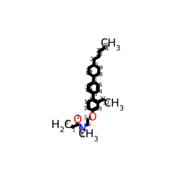 C=CC(=O)N(C)CCOc1ccc(-c2ccc(C3CCC(CCCCC)CC3)cc2)c(CC)c1